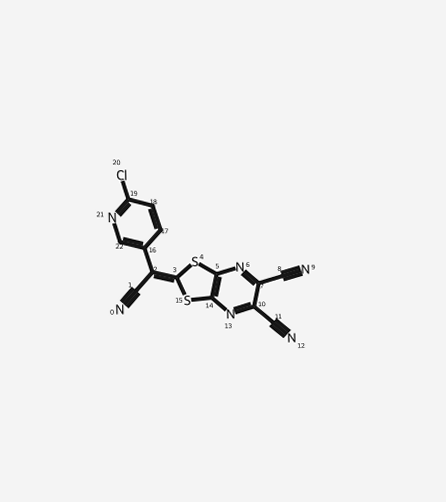 N#CC(=C1Sc2nc(C#N)c(C#N)nc2S1)c1ccc(Cl)nc1